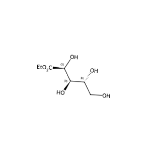 CCOC(=O)[C@@H](O)[C@H](O)[C@H](O)CO